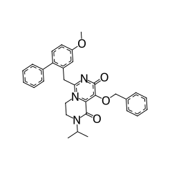 COc1ccc(-c2ccccc2)c(Cc2nc(=O)c(OCc3ccccc3)c3n2CCN(C(C)C)C3=O)c1